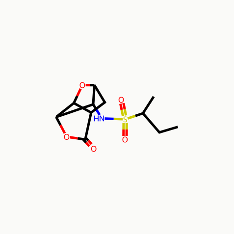 CCC(C)S(=O)(=O)NC1C2CC3C(=O)OC1C3O2